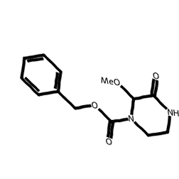 COC1C(=O)NCCN1C(=O)OCc1ccccc1